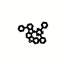 c1ccc(-c2nc(-c3ccccc3)nc(-n3c4cccc(-c5ccccc5)c4c4ccc5oc6ccccc6c5c43)n2)cc1